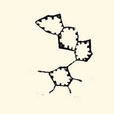 COc1cc(-c2cccc3nc4ccccc4cc23)c(OC)c(OC)c1OC